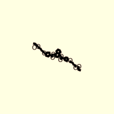 C=CC(=O)OCCCCOc1ccc(C(=O)Oc2ccc(OC(=O)c3ccc(OCCCCOC(=O)C=C)cc3)c3ccccc23)cc1